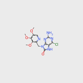 COc1cnc(Cn2c(=O)[nH]c3c(Cl)nc(N)nc32)c(OC)c1OC